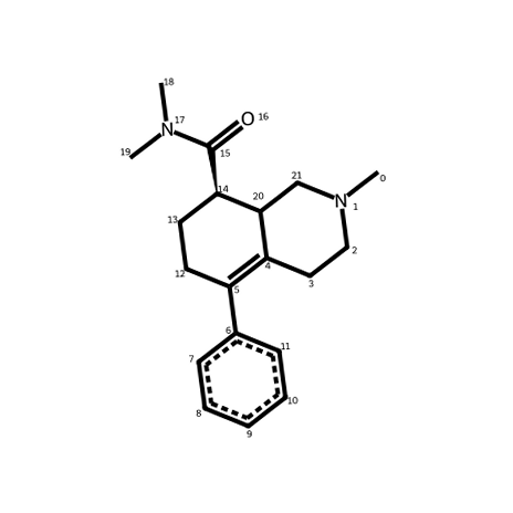 CN1CCC2=C(c3ccccc3)CC[C@@H](C(=O)N(C)C)C2C1